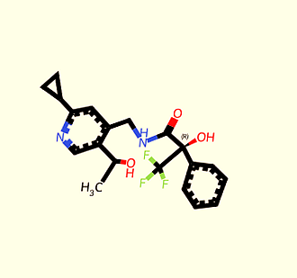 CC(O)c1cnc(C2CC2)cc1CNC(=O)[C@](O)(c1ccccc1)C(F)(F)F